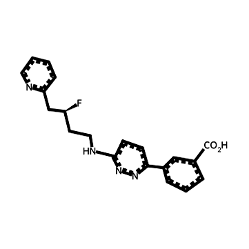 O=C(O)c1cccc(-c2ccc(NCC[C@H](F)Cc3ccccn3)nn2)c1